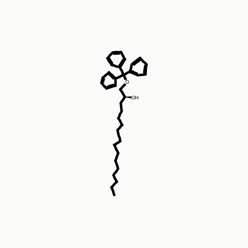 CCCCCCCCCCCCCC[C@H](O)COC(c1ccccc1)(c1ccccc1)c1ccccc1